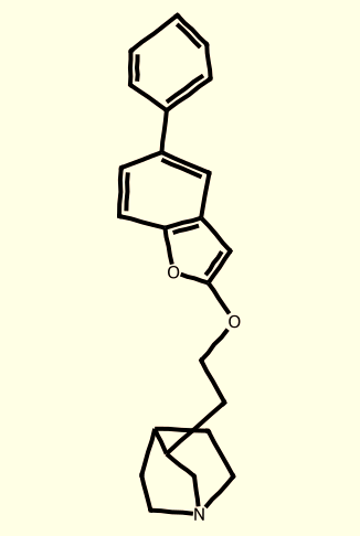 c1ccc(-c2ccc3oc(OCCC4CN5CCC4CC5)cc3c2)cc1